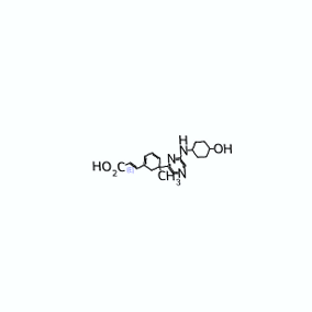 CC1(c2cncc(NC3CCC(O)CC3)n2)C=CC=C(/C=C/C(=O)O)C1